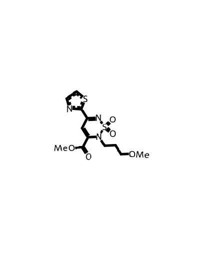 COCCCN1C(C(=O)OC)=CC(c2nccs2)=NS1(=O)=O